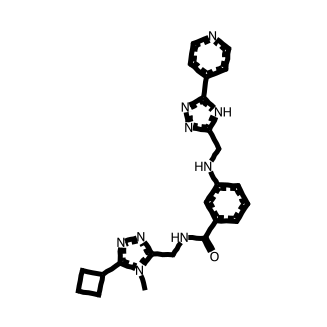 Cn1c(CNC(=O)c2cccc(NCc3nnc(-c4ccncc4)[nH]3)c2)nnc1C1CCC1